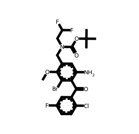 COc1c(CN(CC(F)F)C(=O)OC(C)(C)C)cc(N)c(C(=O)c2cc(F)ccc2Cl)c1Br